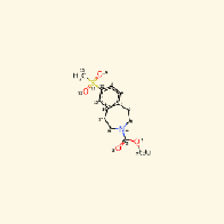 CC(C)(C)OC(=O)N1CCc2ccc(S(C)(=O)=O)cc2CC1